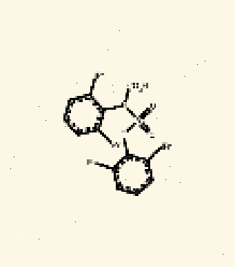 CC(C)c1cccc(C(C)C)c1OS(=O)(=O)N(C(=O)O)c1c(C(C)C)cccc1C(C)C